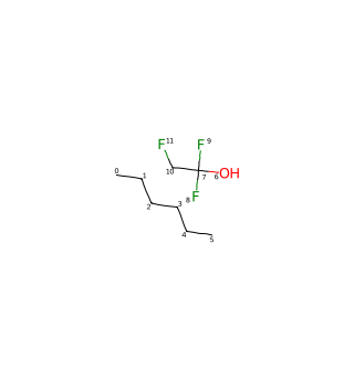 CCCCCC.OC(F)(F)CF